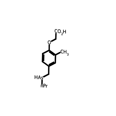 CCC[AsH]Cc1ccc(OCC(=O)O)c(C)c1